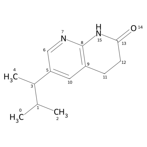 CC(C)C(C)c1cnc2c(c1)CCC(=O)N2